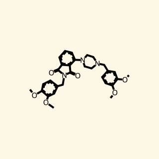 COc1ccc(CN2CCN(c3cccc4c3C(=O)N(Cc3ccc(OC)c(OC)c3)C4=O)CC2)cc1OC